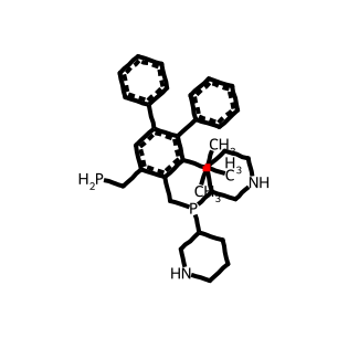 CC(C)(C)c1c(CP(C2CCCNC2)C2CCCNC2)c(CP)cc(-c2ccccc2)c1-c1ccccc1